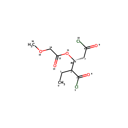 CCC(C(=O)Cl)[C@@H](CC(=O)Cl)OC(=O)COC